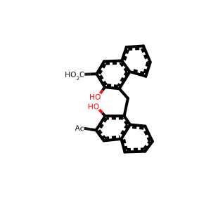 CC(=O)c1cc2ccccc2c(Cc2c(O)c(C(=O)O)cc3ccccc23)c1O